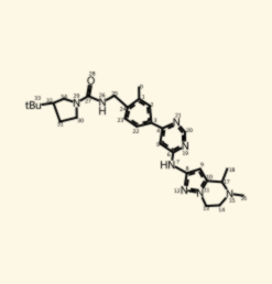 Cc1cc(-c2cc(Nc3cc4n(n3)CCN(C)C4C)ncn2)ccc1CNC(=O)N1CCC(C(C)(C)C)C1